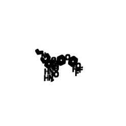 CCCN1CCC2(CC1)CCC(C(=O)NC(=O)NC)(S(=O)(=O)c1ccc(Oc3ccc(OC(F)(F)F)cc3)cc1)C2